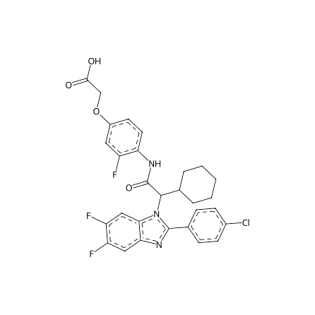 O=C(O)COc1ccc(NC(=O)C(C2CCCCC2)n2c(-c3ccc(Cl)cc3)nc3cc(F)c(F)cc32)c(F)c1